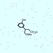 COCC(CC(=O)O)c1cccc(O)c1